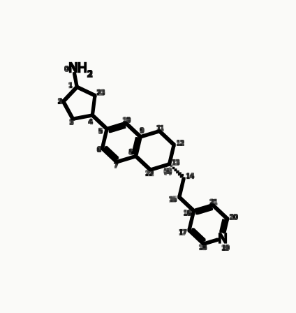 NC1CCC(c2ccc3c(c2)CC[C@H](CCc2ccncc2)C3)C1